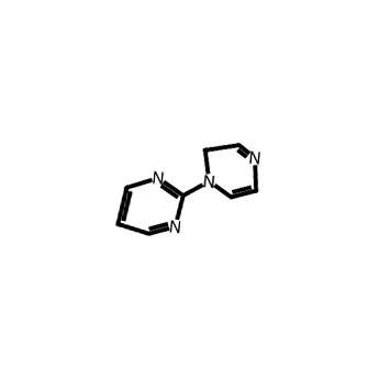 C1=CN(c2ncccn2)CC=N1